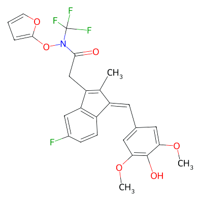 COc1cc(/C=C2/C(C)=C(CC(=O)N(Oc3ccco3)C(F)(F)F)c3cc(F)ccc32)cc(OC)c1O